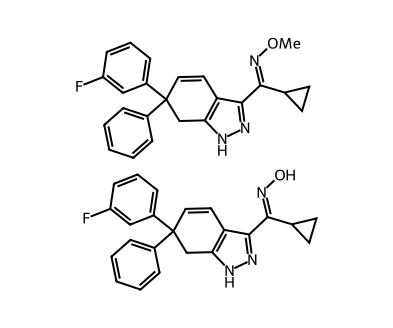 CON=C(c1n[nH]c2c1C=CC(c1ccccc1)(c1cccc(F)c1)C2)C1CC1.ON=C(c1n[nH]c2c1C=CC(c1ccccc1)(c1cccc(F)c1)C2)C1CC1